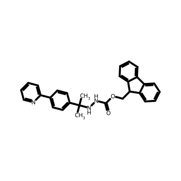 CC(C)(NNC(=O)OCC1c2ccccc2-c2ccccc21)c1ccc(-c2ccccn2)cc1